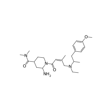 CCN(CC(C)=CC(=O)N1CCC(C(=O)N(C)C)CC1N)C(C)Cc1ccc(OC)cc1